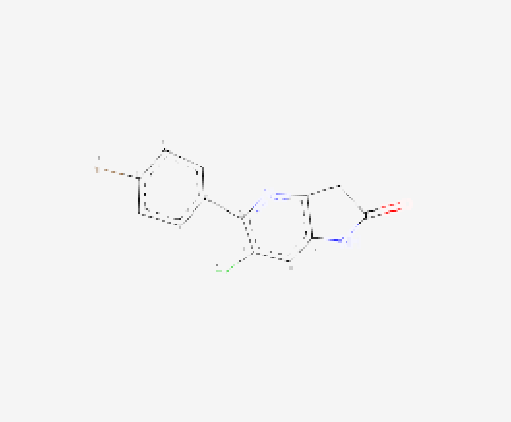 O=C1Cc2nc(-c3ccc(Br)cc3)c(Cl)cc2N1